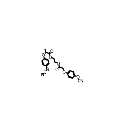 CC(Oc1ccc(N=C=O)cc1)C(=O)OCCOC(=O)COc1ccc(OC#N)cc1